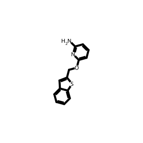 Nc1cccc(OCc2cc3ccccc3s2)n1